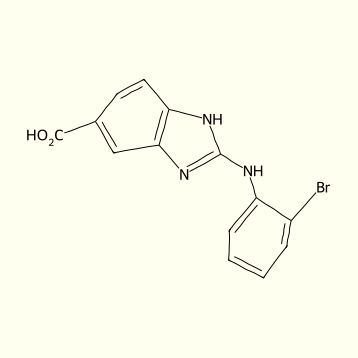 O=C(O)c1ccc2[nH]c(Nc3ccccc3Br)nc2c1